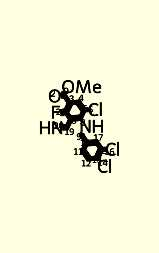 COC(=O)c1cc(Cl)c(NCc2ccc(Cl)c(Cl)c2)c(C=N)c1F